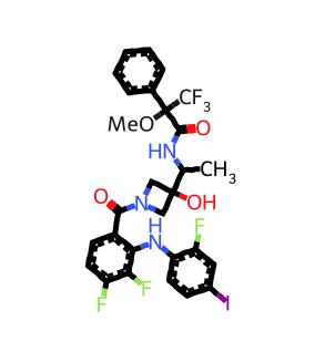 COC(C(=O)NC(C)C1(O)CN(C(=O)c2ccc(F)c(F)c2Nc2ccc(I)cc2F)C1)(c1ccccc1)C(F)(F)F